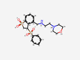 O=S1(=O)CC(S(=O)(=O)c2ccccc2)c2c(CNCCN3CCOCC3)cccc21